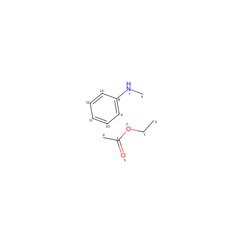 CCOC(C)=O.CNc1ccccc1